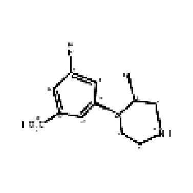 C[C@H]1CNCC[C@H]1c1cc(F)cc(C(=O)O)c1